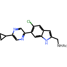 CC(=O)NCc1cc2cc(Cl)c(-c3cnc(C4CC4)cn3)cc2[nH]1